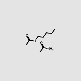 CC(N)=O.CCCCCOC(C)=O